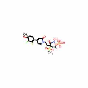 COc1ccc(-c2ccn(CCC(C)(C(=O)N(O)OP(=O)(O)O)S(C)(=O)=O)c(=O)c2)c(F)c1F